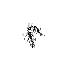 C[C@@H](NC(=O)Cn1cnnn1)[C@H]1C(=O)N2C(C(=O)O)=C(S[C@@H]3CN[C@H](C(=O)N4CCN(C(=O)CCN)CC4)C3)[C@H](C)[C@H]12